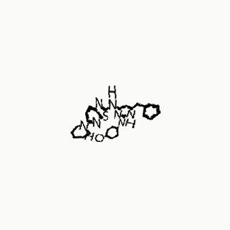 OC1CCC(Nc2nc(Cc3ccccc3)cc(Nc3nc4ccc(N5CCCCC5)nc4s3)n2)CC1